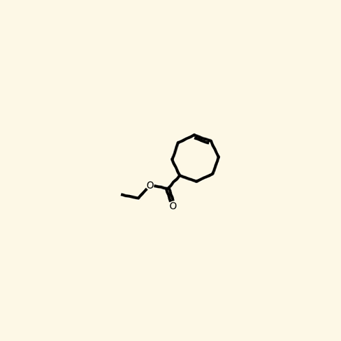 CCOC(=O)C1CCC=CCCC1